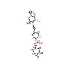 Cc1cc(F)c(C#Cc2ccc(C(=O)Oc3ccc(F)c(F)c3)cc2)c(F)c1